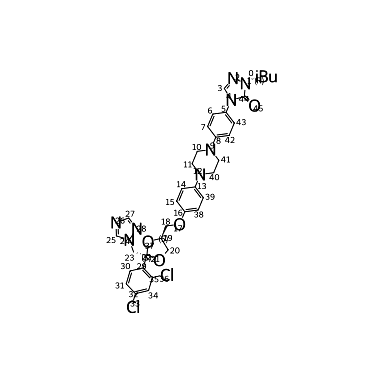 CC[C@@H](C)n1ncn(-c2ccc(N3CCN(c4ccc(OC[C@H]5CO[C@@](Cn6cncn6)(c6ccc(Cl)cc6Cl)O5)cc4)CC3)cc2)c1=O